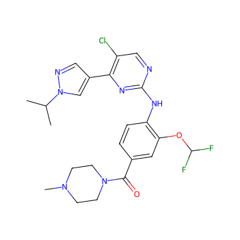 CC(C)n1cc(-c2nc(Nc3ccc(C(=O)N4CCN(C)CC4)cc3OC(F)F)ncc2Cl)cn1